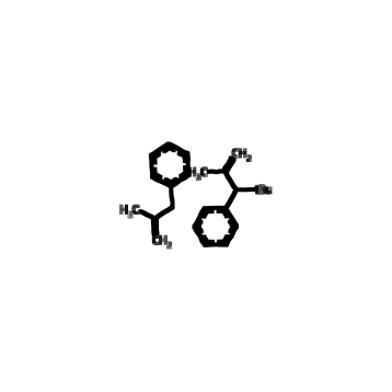 C=C(C)C(c1ccccc1)C(C)(C)C.C=C(C)Cc1ccccc1